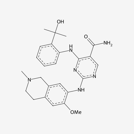 COc1cc2c(cc1Nc1ncc(C(N)=O)c(Nc3ccccc3C(C)(C)O)n1)CN(C)CC2